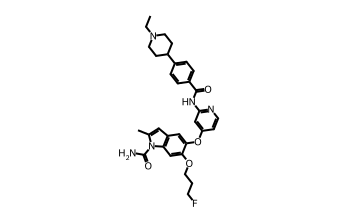 CCN1CCC(c2ccc(C(=O)Nc3cc(Oc4cc5cc(C)n(C(N)=O)c5cc4OCCCF)ccn3)cc2)CC1